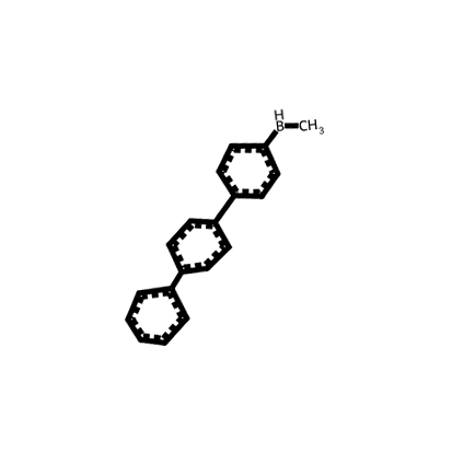 CBc1ccc(-c2ccc(-c3ccccc3)cc2)cc1